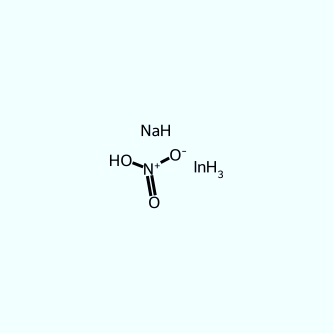 O=[N+]([O-])O.[InH3].[NaH]